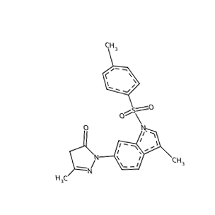 CC1=NN(c2ccc3c(C)cn(S(=O)(=O)c4ccc(C)cc4)c3c2)C(=O)C1